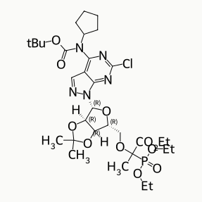 CCOC(=O)C(C)(OC[C@H]1O[C@@H](n2ncc3c(N(C(=O)OC(C)(C)C)C4CCCC4)nc(Cl)nc32)[C@@H]2OC(C)(C)O[C@@H]21)P(=O)(OCC)OCC